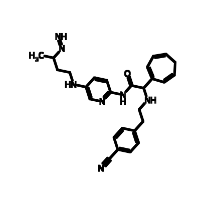 CC(CCNc1ccc(NC(=O)C(NCCc2ccc(C#N)cc2)C2=CC=CCC=C2)nc1)N=N